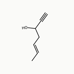 C#CC(O)CC=CC